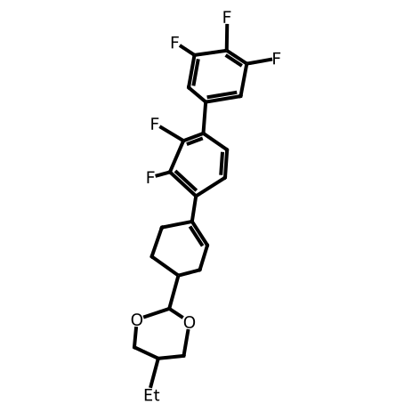 CCC1COC(C2CC=C(c3ccc(-c4cc(F)c(F)c(F)c4)c(F)c3F)CC2)OC1